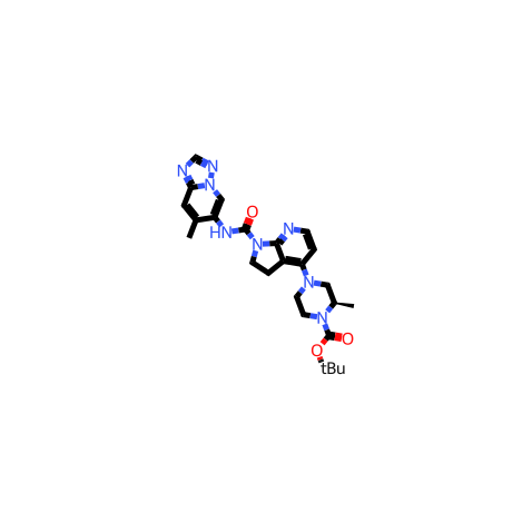 Cc1cc2ncnn2cc1NC(=O)N1CCc2c(N3CCN(C(=O)OC(C)(C)C)[C@H](C)C3)ccnc21